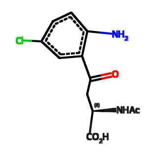 CC(=O)N[C@H](CC(=O)c1cc(Cl)ccc1N)C(=O)O